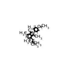 CCOc1ccc(-n2c(C)c3c(C)nnc(CC(C)(C)C)c3c2C)cc1